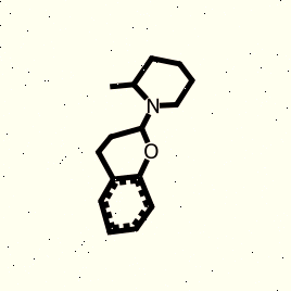 CC1CCCCN1C1CCc2ccccc2O1